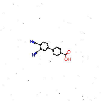 N#Cc1ccc(-c2ccc(C(=O)O)cc2)cc1C#N